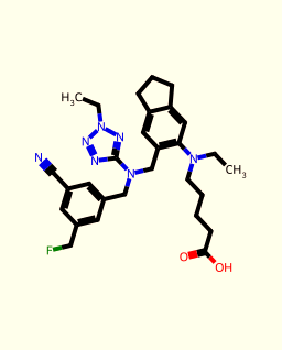 CCN(CCCCC(=O)O)c1cc2c(cc1CN(Cc1cc(C#N)cc(CF)c1)c1nnn(CC)n1)CCC2